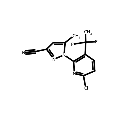 Cc1cc(C#N)nn1-c1nc(Cl)ccc1C(C)(F)F